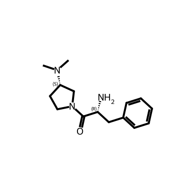 CN(C)[C@H]1CCN(C(=O)[C@H](N)Cc2ccccc2)C1